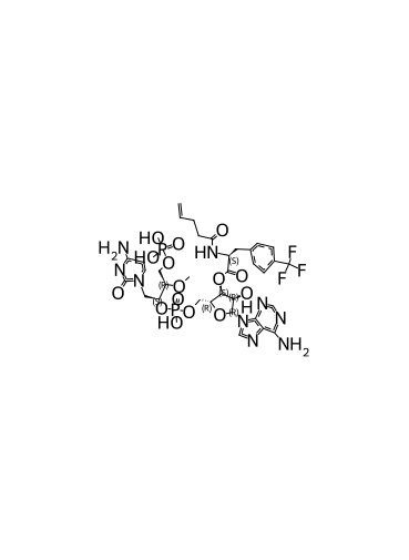 C=CCCC(=O)N[C@@H](Cc1ccc(C(F)(F)F)cc1)C(=O)O[C@H]1[C@@H](O)[C@H](n2cnc3c(N)ncnc32)O[C@@H]1COP(=O)(O)O[C@@H](Cn1ccc(N)nc1=O)[C@@H](COP(=O)(O)O)OC